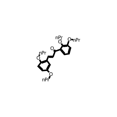 CCCOc1ccc(OCCC)c(C=CC(=O)c2cccc(OCCC)c2OCCC)c1